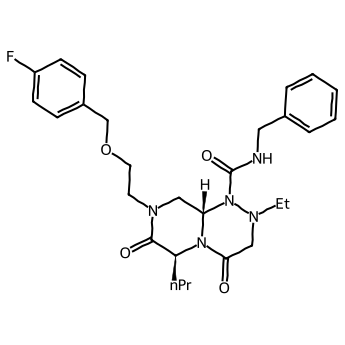 CCC[C@H]1C(=O)N(CCOCc2ccc(F)cc2)C[C@H]2N1C(=O)CN(CC)N2C(=O)NCc1ccccc1